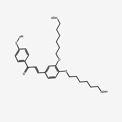 CCCCCCCCCCCCCCCCOc1ccc(/C=C/C(=O)c2ccc(SCCC)cc2)cc1OCCCCCCCCCCCCCCCC